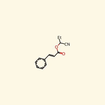 CCC(C#N)OC(=O)C=Cc1ccccc1